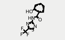 O=C(Nc1nsc(C(F)(F)F)n1)c1ccccc1O